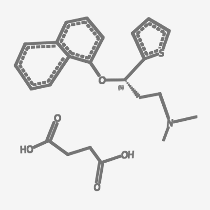 CN(C)CC[C@H](Oc1cccc2ccccc12)c1cccs1.O=C(O)CCC(=O)O